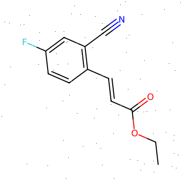 CCOC(=O)C=Cc1ccc(F)cc1C#N